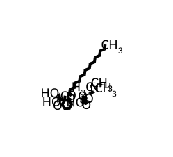 CCCCCCCCCCCCCCCC(=O)OC1([C@@H](O)CO)C(=O)CCCC1=O.C[N+](C)(C)CCOP(=O)([O-])O